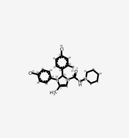 CC1=CN(C(=O)NN2CCCCC2)C(c2ccc(Cl)cc2F)N1c1ccc(Cl)cc1